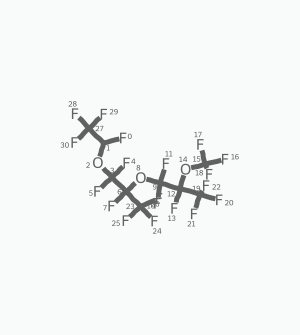 FC(OC(F)(F)C(F)(OC(F)(F)C(F)(OC(F)(F)F)C(F)(F)F)C(F)(F)F)C(F)(F)F